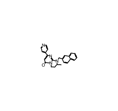 CC1CCn2c(nc(-c3ccncc3)cc2=O)N1Cc1ccc2ccccc2c1